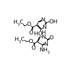 CCOC(=O)c1c[nH]c(=O)nc1N.CCOC(=O)c1cnc(O)nc1O